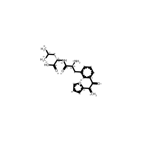 C=C(C(=O)c1cccc(C[C@H](N)C(=O)N[C@@H](CC(C)C)C(=O)O)c1)c1ccco1